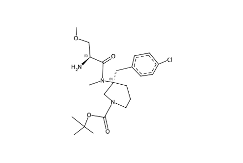 COC[C@H](N)C(=O)N(C)[C@@]1(Cc2ccc(Cl)cc2)CCCN(C(=O)OC(C)(C)C)C1